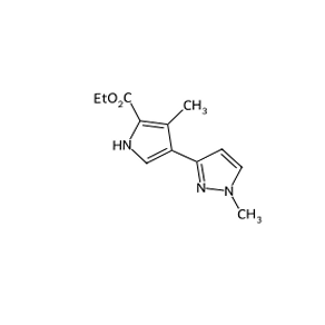 CCOC(=O)c1[nH]cc(-c2ccn(C)n2)c1C